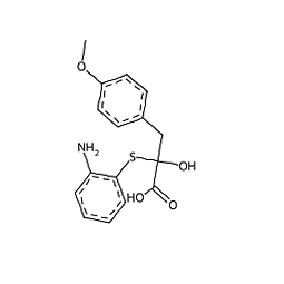 COc1ccc(CC(O)(Sc2ccccc2N)C(=O)O)cc1